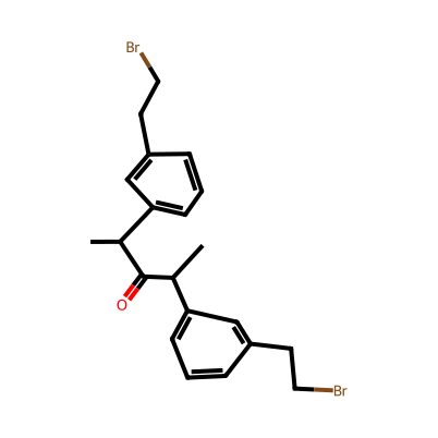 CC(C(=O)C(C)c1cccc(CCBr)c1)c1cccc(CCBr)c1